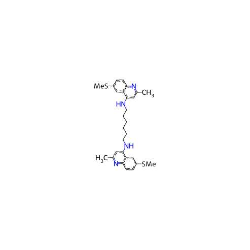 CSc1ccc2nc(C)cc(NCCCCCCNc3cc(C)nc4ccc(SC)cc34)c2c1